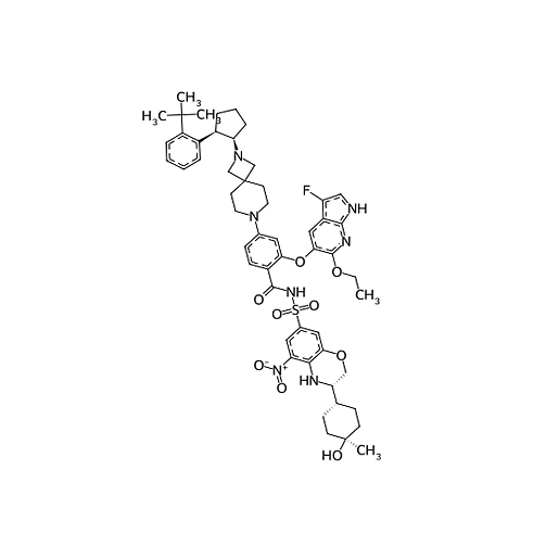 CCOc1nc2[nH]cc(F)c2cc1Oc1cc(N2CCC3(CC2)CN([C@@H]2CCC[C@@H]2c2ccccc2C(C)(C)C)C3)ccc1C(=O)NS(=O)(=O)c1cc2c(c([N+](=O)[O-])c1)N[C@@H]([C@H]1CC[C@](C)(O)CC1)CO2